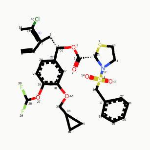 C=C/C(C[C@H](OC(=O)[C@@H]1SCCN1S(=O)(=O)Cc1ccccc1)c1ccc(OC(F)F)c(OCC2CC2)c1)=C(\C)Cl